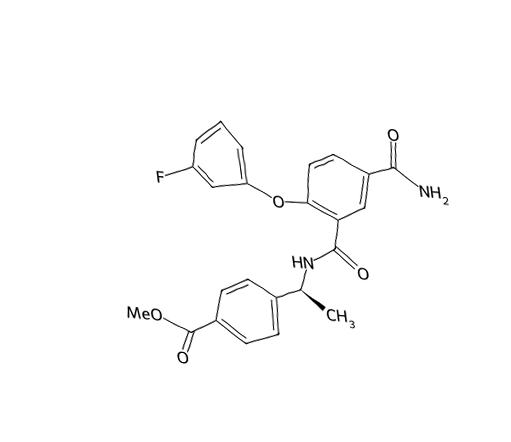 COC(=O)c1ccc([C@H](C)NC(=O)c2cc(C(N)=O)ccc2Oc2cccc(F)c2)cc1